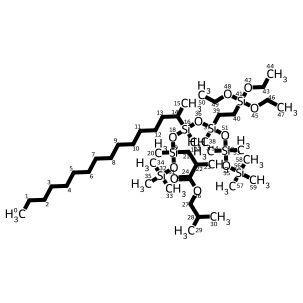 CCCCCCCCCCCCCCC(C)[Si](C)(O[Si](C)(CC(C)C(=O)OCC(C)C)O[Si](C)(C)C)O[Si](C)(CC[Si](OCC)(OCC)OCC)O[Si](C)(C)O[Si](C)(C)C